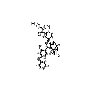 C/C=C(\C#N)C(=O)N1CCCC(n2nc(-c3ccc(Oc4ccccc4)cc3F)c3c(N)ncnc32)C1